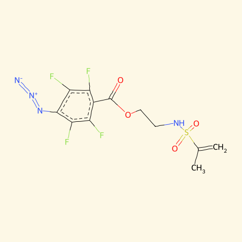 C=C(C)S(=O)(=O)NCCOC(=O)c1c(F)c(F)c(N=[N+]=[N-])c(F)c1F